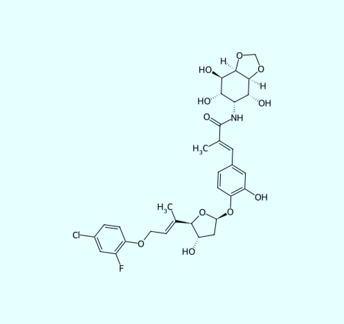 CC(=Cc1ccc(O[C@H]2C[C@H](O)[C@@H](C(C)=CCOc3ccc(Cl)cc3F)O2)c(O)c1)C(=O)N[C@@H]1[C@H](O)[C@@H](O)[C@H]2OCO[C@H]2[C@@H]1O